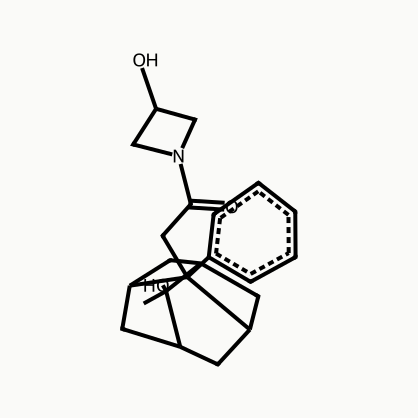 CC1(O)C2CC3CC1CC(C2)C3(CC(=O)N1CC(O)C1)c1ccccc1